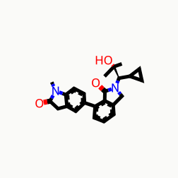 CN1C(=O)Cc2cc(-c3cccc4c3C(=O)N([C@H](C3CC3)C(C)(C)O)C4)ccc21